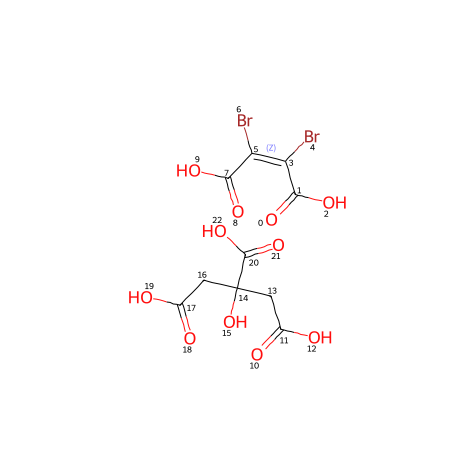 O=C(O)/C(Br)=C(/Br)C(=O)O.O=C(O)CC(O)(CC(=O)O)C(=O)O